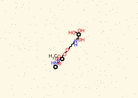 CC(=O)ON(C(=O)Nc1ccccc1)c1cccc(COCCOCCCCCCNC[C@@H](O)c2ccc(O)c(CO)c2)c1